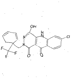 O=c1c2ccc(Cl)cc2[nH]c2c(O)nn(CC3(C(F)(F)F)C=CC=CC3)c(=O)c12